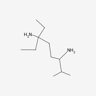 CCC(N)(CC)CCC(N)C(C)C